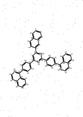 c1ccc2cc(-c3cc(-c4ccc(-c5nccc6ccccc56)cc4)nc(-c4ccc(-c5nccc6ccccc56)cc4)n3)ccc2c1